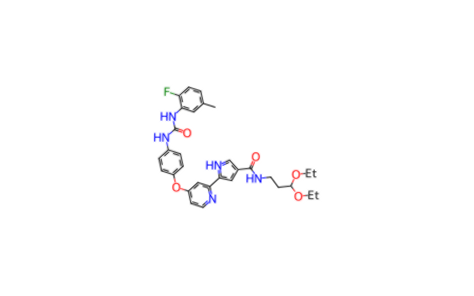 CCOC(CCNC(=O)c1c[nH]c(-c2cc(Oc3ccc(NC(=O)Nc4cc(C)ccc4F)cc3)ccn2)c1)OCC